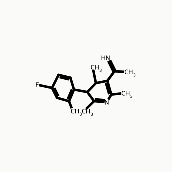 CC(=N)C1=C(C)N=C(C)C(c2ccc(F)cc2C)C1C